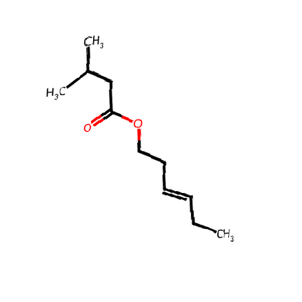 CCC=CCCOC(=O)CC(C)C